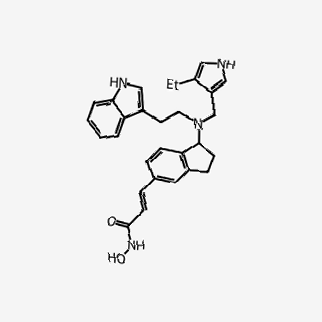 CCc1c[nH]cc1CN(CCc1c[nH]c2ccccc12)C1CCc2cc(C=CC(=O)NO)ccc21